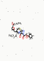 COC(=O)c1ccc(CC2=C(C(=O)O)N3C(=O)[C@@H](NC(=O)COc4ccccc4)[C@@H]3SC2)o1